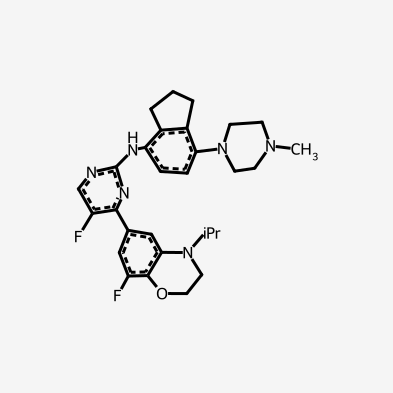 CC(C)N1CCOc2c(F)cc(-c3nc(Nc4ccc(N5CCN(C)CC5)c5c4CCC5)ncc3F)cc21